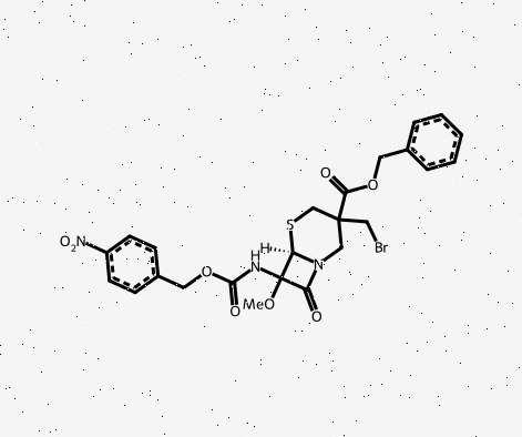 COC1(NC(=O)OCc2ccc([N+](=O)[O-])cc2)C(=O)N2CC(CBr)(C(=O)OCc3ccccc3)CS[C@@H]21